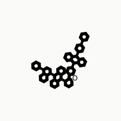 c1ccc(-c2ccc(-c3c4ccccc4c(-c4ccc5c(c4)oc4cccc(-c6c7ccccc7c(-c7ccc(-c8ccccc8)c8ccccc78)c7ccccc67)c45)c4ccccc34)cc2)cc1